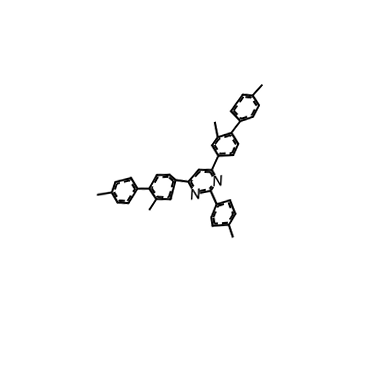 Cc1ccc(-c2nc(-c3ccc(-c4ccc(C)cc4)c(C)c3)cc(-c3ccc(-c4ccc(C)cc4)c(C)c3)n2)cc1